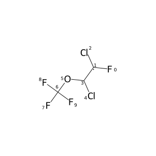 F[C](Cl)C(Cl)OC(F)(F)F